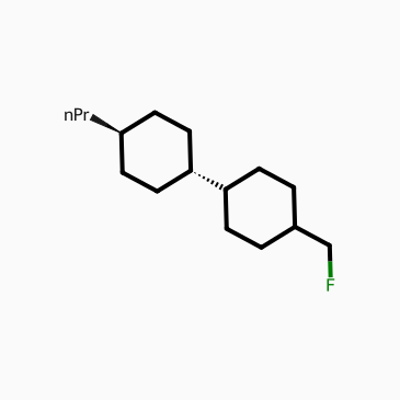 CCC[C@H]1CC[C@H](C2CCC(CF)CC2)CC1